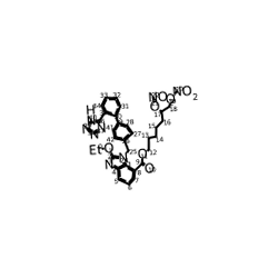 CCOc1nc2cccc(C(=O)OCCCCCC(CO[N+](=O)[O-])O[N+](=O)[O-])c2n1Cc1ccc(-c2ccccc2-c2nnn[nH]2)cc1